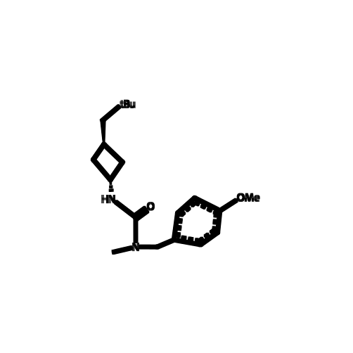 COc1ccc(CN(C)C(=O)N[C@H]2C[C@H](CC(C)(C)C)C2)cc1